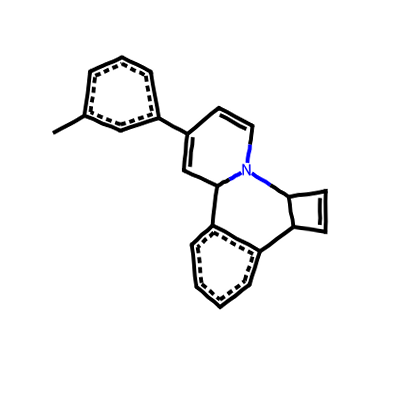 Cc1cccc(C2=CC3c4ccccc4C4C=CC4N3C=C2)c1